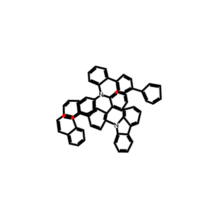 c1ccc(-c2ccc(-c3ccccc3N(c3ccc(-c4cccc5ccccc45)cc3)c3ccccc3-c3cc(-c4ccccc4)ccc3-n3c4ccccc4c4ccccc43)cc2)cc1